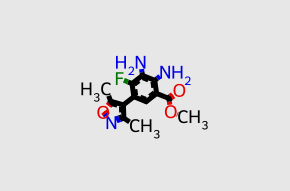 COC(=O)c1cc(-c2c(C)noc2C)c(F)c(N)c1N